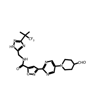 CC(C)(c1n[nH]c(CNC(=O)c2cc(-c3ncc(N4CCC(C=O)CC4)cn3)no2)n1)C(F)(F)F